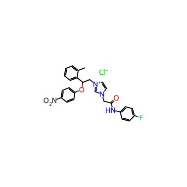 Cc1ccccc1C(C[n+]1ccn(CC(=O)Nc2ccc(F)cc2)c1)Oc1ccc([N+](=O)[O-])cc1.[Cl-]